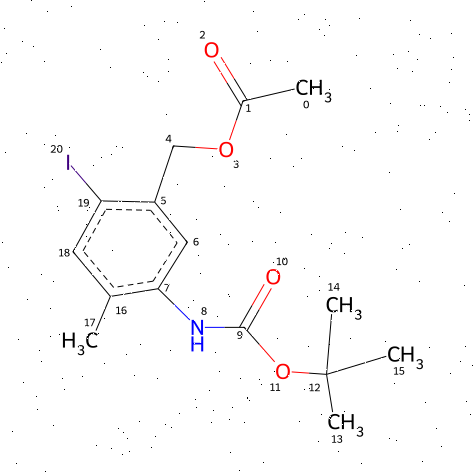 CC(=O)OCc1cc(NC(=O)OC(C)(C)C)c(C)cc1I